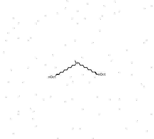 CCCCCCCCC=CCCCCCCCCN(C)CCCCCCCCC=CCCCCCCCC